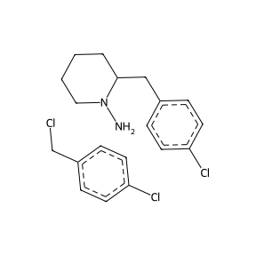 ClCc1ccc(Cl)cc1.NN1CCCCC1Cc1ccc(Cl)cc1